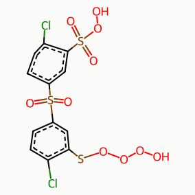 O=S(=O)(OO)c1cc(S(=O)(=O)c2ccc(Cl)c(SOOOO)c2)ccc1Cl